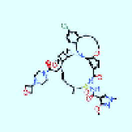 COc1nn(C)cc1C(=O)N[S@@]1(=O)=NC(=O)c2ccc3c(c2)N(Cc2ccc(Cl)cc2CCCCO3)C[C@@H]2CC[C@H]2[C@](O)(CC(=O)N2CCN(C3COC3)CC2)/C=C/C[C@H](C)C1